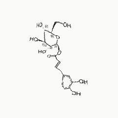 O=C(C=Cc1ccc(O)c(O)c1)O[C@@H]1O[C@H](CO)[C@@H](O)[C@H](O)[C@H]1O